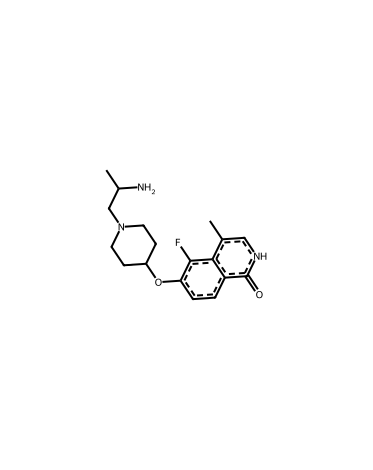 Cc1c[nH]c(=O)c2ccc(OC3CCN(CC(C)N)CC3)c(F)c12